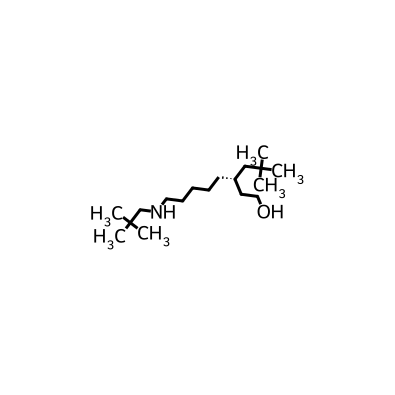 CC(C)(C)CNCCCCC[C@@H](CCO)CC(C)(C)C